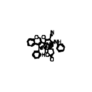 N#CC(C(=O)Nc1ccccc1)C(=O)C1(NC(=O)CCC(=O)O)NN(c2ccccc2)C2=C1COc1ccccc12